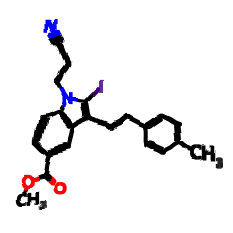 COC(=O)c1ccc2c(c1)c(CCc1ccc(C)cc1)c(I)n2CCC#N